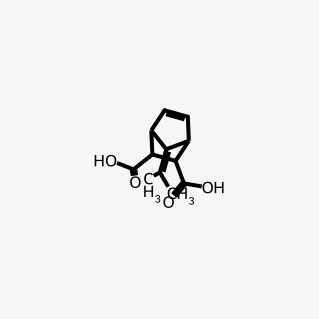 CC(C)=C1C2C=CC1C(C(=O)O)C2C(=O)O